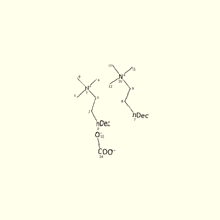 CCCCCCCCCCCC[N+](C)(C)C.CCCCCCCCCCCC[N+](C)(C)C.O=C([O-])[O-]